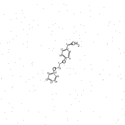 C=Cc1ccc(OCCOc2ccccc2)cc1